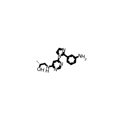 C[C@@H](O)CNc1cc(-n2ccnc2-c2cccc(N)c2)ncn1